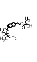 C=C(C)C(=O)OCCC1CC2C3CC(C(C)OC(=O)C(=C)C)C(C3)C2C1